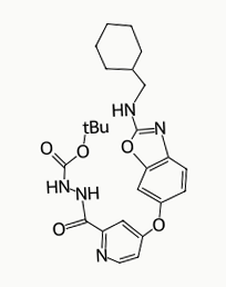 CC(C)(C)OC(=O)NNC(=O)c1cc(Oc2ccc3nc(NCC4CCCCC4)oc3c2)ccn1